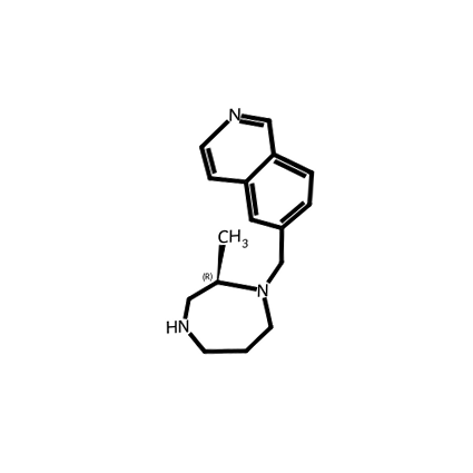 C[C@@H]1CNCCCN1Cc1ccc2cnccc2c1